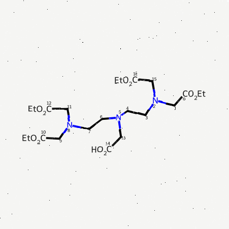 CCOC(=O)CN(CCN(CCN(CC(=O)OCC)CC(=O)OCC)CC(=O)O)CC(=O)OCC